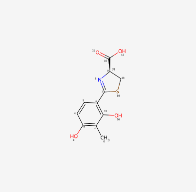 Cc1c(O)ccc(C2=N[C@@H](C(=O)O)CS2)c1O